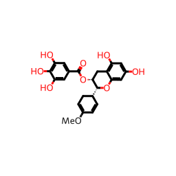 COC1=CCC([C@H]2Oc3cc(O)cc(O)c3C[C@H]2OC(=O)c2cc(O)c(O)c(O)c2)C=C1